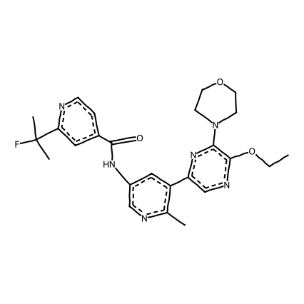 CCOc1ncc(-c2cc(NC(=O)c3ccnc(C(C)(C)F)c3)cnc2C)nc1N1CCOCC1